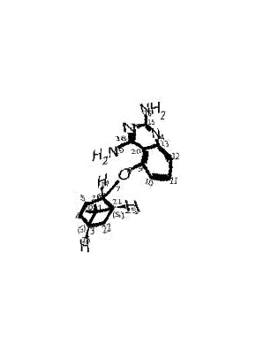 CC1(C)[C@H]2CC[C@H](COc3cccc4nc(N)nc(N)c34)[C@@H]1C2